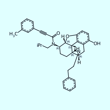 Cc1cccc(C#CC(=O)N(CC(C)C)[C@@H]2CC[C@H]3[C@H]4Cc5c(O)ccc6c5[C@@]3(CCN4CCc3ccccc3)[C@H]2O6)c1